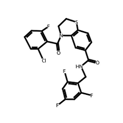 O=C(NCc1c(F)cc(F)cc1F)c1ccc2c(c1)N(C(=O)c1c(F)cccc1Cl)CCS2